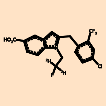 [2H]C([2H])(F)Cn1c(Cc2ccc(Cl)cc2C(F)(F)F)cc2cc(C(=O)O)ccc21